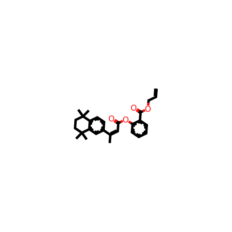 C=CCOC(=O)c1ccccc1OC(=O)/C=C(/C)c1ccc2c(c1)C(C)(C)CCC2(C)C